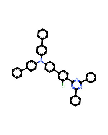 Clc1cc(-c2ccc(N(c3ccc(-c4ccccc4)cc3)c3ccc(-c4ccccc4)cc3)cc2)ccc1-c1nc(-c2ccccc2)nc(-c2ccccc2)n1